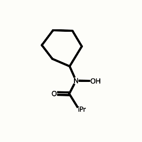 CC(C)C(=O)N(O)C1CCCCC1